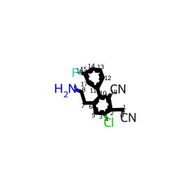 N#CCc1c(Cl)cc(CCN)c(-c2cccc(F)c2)c1C#N